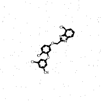 N#Cc1cc(Cl)cc(Oc2cc(OCc3nc4cccc(Cl)c4s3)ccc2Cl)c1